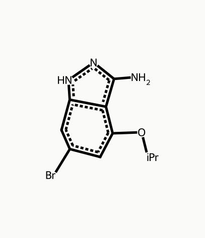 CC(C)Oc1cc(Br)cc2[nH]nc(N)c12